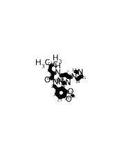 CC(C)CC(Nc1cc(-n2ccnc2)ncn1)C(=O)NCc1ccc2c(c1)OCO2